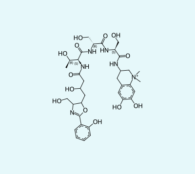 C[C@@H](O)[C@H](NC(=O)CC(O)CC1OC(c2ccccc2O)=NC1CO)C(=O)N[C@H](CO)C(=O)N[C@@H](CO)C(=O)NC1Cc2cc(O)c(O)cc2[N+](C)(C)C1